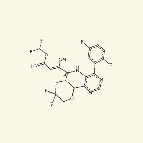 N=C(/C=C(\O)C(=O)Nc1c(-c2cc(F)ccc2F)ncnc1C1CCC(F)(F)CO1)OC(F)F